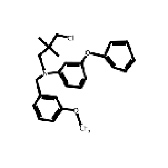 CC(C)(CCl)CN(Cc1cccc(OC(F)(F)F)c1)c1cccc(Oc2ccccc2)c1